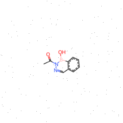 CC(=O)N1N=Cc2ccccc2B1O